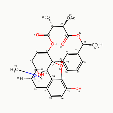 CC(=O)O[C@@H](C(=O)OC1=CC[C@]2(O)[C@@H]3Cc4ccc(O)c5c4[C@]2(CCN3C)[C@@H]1O5)[C@@H](OC(C)=O)C(=O)O[C@@H](C(=O)O)c1ccccc1